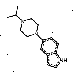 CC(C)N1CCN(c2ccc3[nH]ccc3c2)CC1